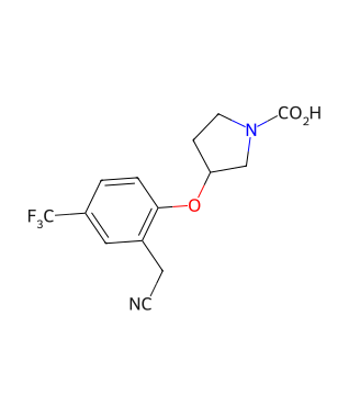 N#CCc1cc(C(F)(F)F)ccc1OC1CCN(C(=O)O)C1